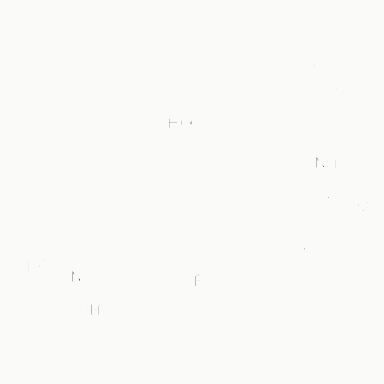 CN(C)CCc1ccc(-c2c(O)cc(C3CC3)c3[nH]c(=O)c4sccc4c23)cc1F